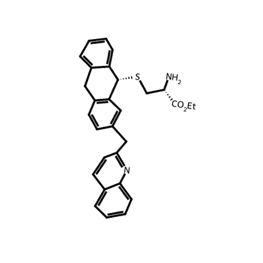 CCOC(=O)[C@@H](N)CS[C@H]1c2ccccc2Cc2ccc(Cc3ccc4ccccc4n3)cc21